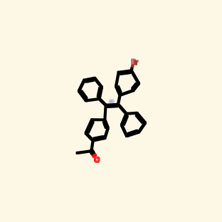 CC(=O)c1ccc(/C(=C(\c2ccccc2)c2ccc(Br)cc2)c2ccccc2)cc1